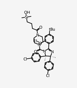 CCOc1cc(C(C)(C)C)ccc1C1=N[C@@](C)(c2ccc(Cl)cc2)[C@@](C)(c2ccc(Cl)cc2)N1C(=O)N1CCN(C(=O)CCC[Si](C)(C)O)CC1